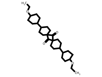 CCOC1CCC(C2CCC3(CC2)C(=O)C2(CCC(C4CCC(OCC)CC4)CC2)C3=O)CC1